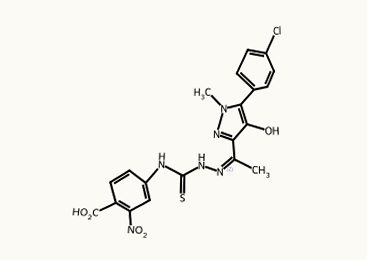 C/C(=N/NC(=S)Nc1ccc(C(=O)O)c([N+](=O)[O-])c1)c1nn(C)c(-c2ccc(Cl)cc2)c1O